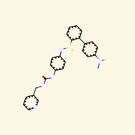 CN(S)c1ccc(-c2ccccc2[S+]([O-])Nc2ccc(NC(=O)NCc3cccnc3)cc2)cc1